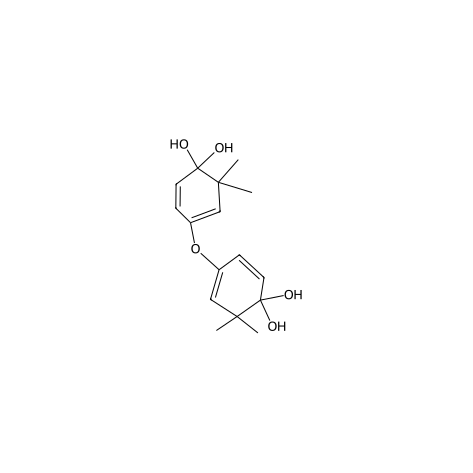 CC1(C)C=C(OC2=CC(C)(C)C(O)(O)C=C2)C=CC1(O)O